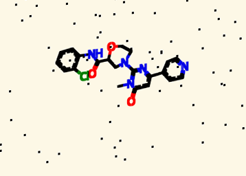 Cn1c(N2CCOC(C(=O)Nc3ccccc3Cl)C2)nc(-c2ccncc2)cc1=O